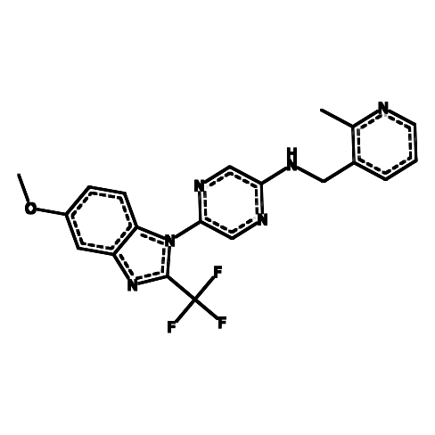 COc1ccc2c(c1)nc(C(F)(F)F)n2-c1cnc(NCc2cccnc2C)cn1